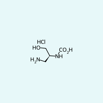 Cl.NC[C@@H](CO)NC(=O)O